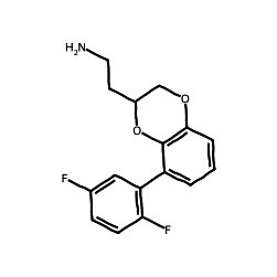 NCCC1COc2cccc(-c3cc(F)ccc3F)c2O1